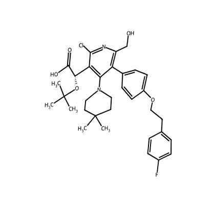 CC1(C)CCN(c2c(-c3ccc(OCCc4ccc(F)cc4)cc3)c(CO)nc(Cl)c2[C@H](OC(C)(C)C)C(=O)O)CC1